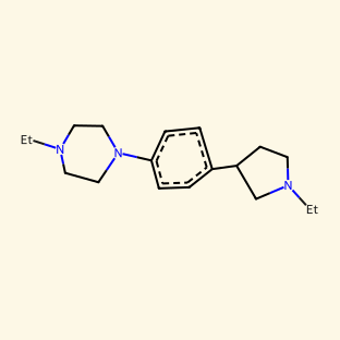 CCN1CCN(c2ccc(C3CCN(CC)C3)cc2)CC1